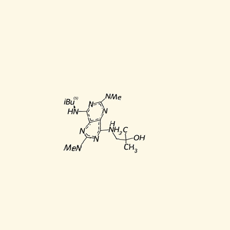 CC[C@H](C)Nc1nc(NC)nc2c(NCC(C)(C)O)nc(NC)nc12